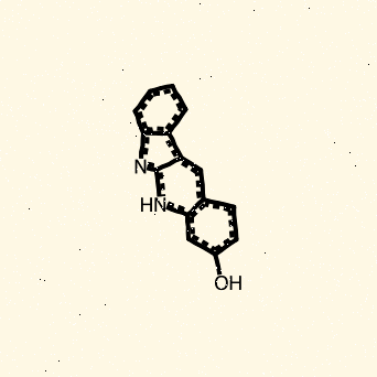 Oc1ccc2cc3c4ccccc4nc-3[nH]c2c1